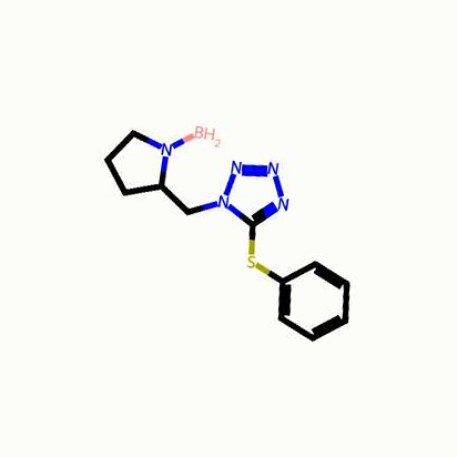 BN1CCCC1Cn1nnnc1Sc1ccccc1